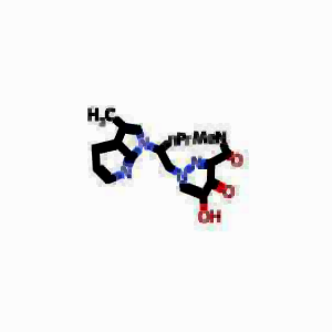 CCCC(Cn1cc(O)c(=O)c(C(=O)NC)n1)n1cc(C)c2cccnc21